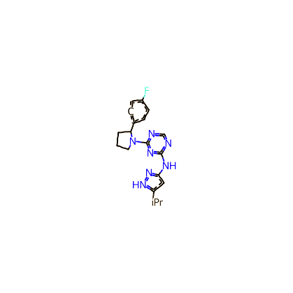 CC(C)c1cc(Nc2ncnc(N3CCCC3c3ccc(F)cc3)n2)n[nH]1